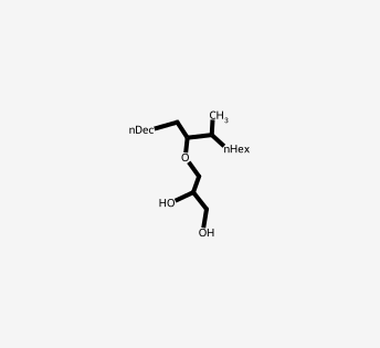 CCCCCCCCCCCC(OCC(O)CO)C(C)CCCCCC